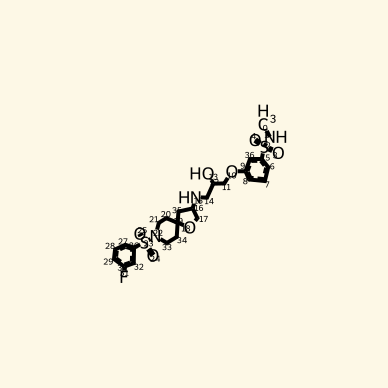 CNS(=O)(=O)c1cccc(OCC(O)CNC2COC3(CCN(S(=O)(=O)c4cccc(F)c4)CC3)C2)c1